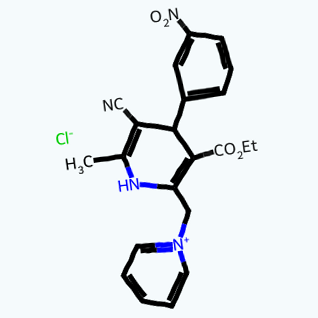 CCOC(=O)C1=C(C[n+]2ccccc2)NC(C)=C(C#N)C1c1cccc([N+](=O)[O-])c1.[Cl-]